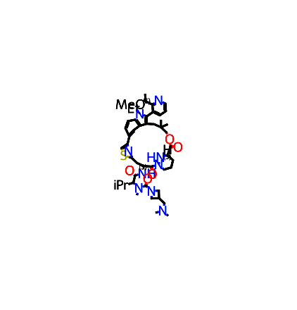 CCn1c(-c2cccnc2[C@H](C)OC)c2c3cc(ccc31)-c1csc(n1)C[C@H](NC(=O)C(C(C)C)N(C)C(=O)N1CC(CN(C)C)C1)C(=O)N1CCC[C@H](N1)C(=O)OCC(C)(C)C2